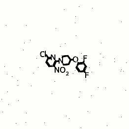 O=[N+]([O-])c1ccc(Cl)nc1N1CCC(Oc2ccc(F)cc2F)CC1